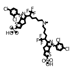 CN(CCCCC(c1nn(-c2ccc(Cl)cc2Cl)c2c1Cc1cc(S(=O)(=O)O)sc1-2)C(F)(F)F)CCCCC(c1nn(-c2ccc(Cl)cc2Cl)c2c1Cc1cc(S(=O)(=O)O)sc1-2)C(F)(F)F